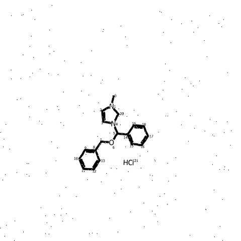 CN1C=CN(C(OCc2ccccc2)c2ccccc2)C1.Cl